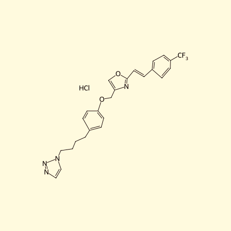 Cl.FC(F)(F)c1ccc(C=Cc2nc(COc3ccc(CCCCn4ccnn4)cc3)co2)cc1